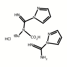 CC(C)(C)N(C(=N)n1cccn1)C(=O)O.Cl.N=C(N)n1cccn1